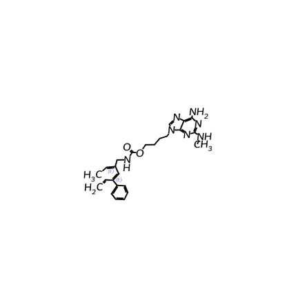 C=C/C(=C\C(=C/C)CNC(=O)OCCCCn1cnc2c(N)nc(NC)nc21)c1ccccc1